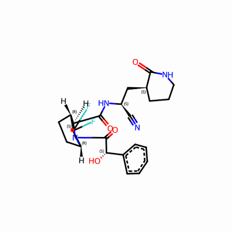 N#C[C@H](C[C@@H]1CCCNC1=O)NC(=O)[C@@H]1[C@H]2CC[C@H](CC2(F)F)N1C(=O)[C@@H](O)c1ccccc1